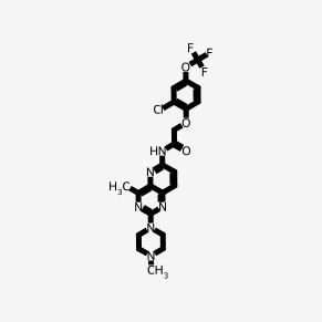 Cc1nc(N2CCN(C)CC2)nc2ccc(NC(=O)COc3ccc(OC(F)(F)F)cc3Cl)nc12